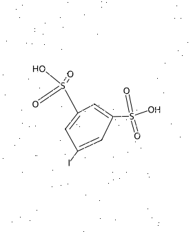 O=S(=O)(O)c1cc(I)cc(S(=O)(=O)O)c1